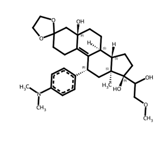 COCC(O)[C@@]1(O)CC[C@H]2[C@@H]3CC[C@@]4(O)CC5(CCC4=C3[C@@H](c3ccc(N(C)C)cc3)C[C@@]21C)OCCO5